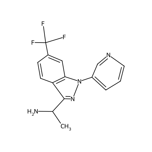 CC(N)c1nn(-c2cccnc2)c2cc(C(F)(F)F)ccc12